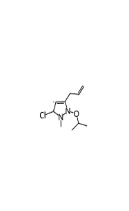 C=CCC1=[C]C(Cl)N(C)N1OC(C)C